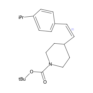 CC(C)c1ccc(/C=C\C2CCN(C(=O)OC(C)(C)C)CC2)cc1